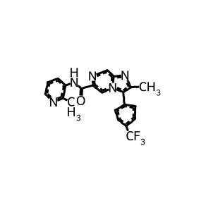 Cc1ncccc1NC(=O)c1cn2c(-c3ccc(C(F)(F)F)cc3)c(C)nc2cn1